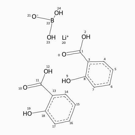 O=C(O)c1ccccc1O.O=C(O)c1ccccc1O.[Li+].[O-]B(O)O